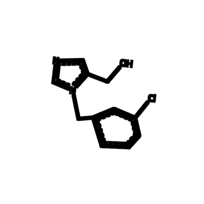 OCc1cncn1Cc1cccc(Cl)c1